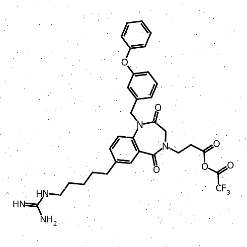 N=C(N)NCCCCCc1ccc2c(c1)C(=O)N(CCC(=O)OC(=O)C(F)(F)F)CC(=O)N2Cc1cccc(Oc2ccccc2)c1